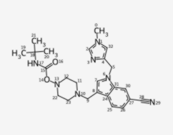 Cn1cnc(Cn2cc(CN3CCN(OC(=O)NC(C)(C)C)CC3)c3ccc(C#N)cc32)c1